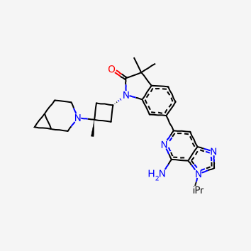 CC(C)n1cnc2cc(-c3ccc4c(c3)N([C@H]3C[C@@](C)(N5CCC6CC6C5)C3)C(=O)C4(C)C)nc(N)c21